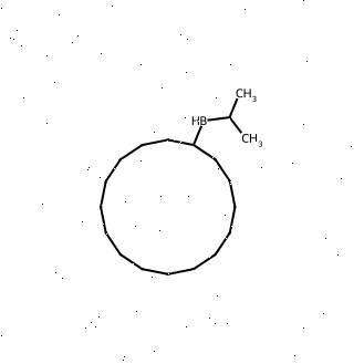 CC(C)BC1CCCCCCCCCCCCCCC1